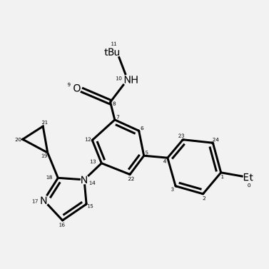 CCc1ccc(-c2cc(C(=O)NC(C)(C)C)cc(-n3ccnc3C3CC3)c2)cc1